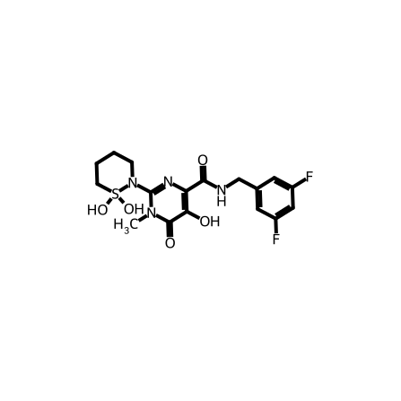 Cn1c(N2CCCCS2(O)O)nc(C(=O)NCc2cc(F)cc(F)c2)c(O)c1=O